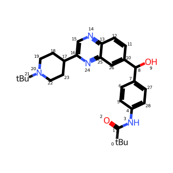 CC(C)(C)C(=O)Nc1ccc(C(O)c2ccc3ncc(C4CCN(C(C)(C)C)CC4)nc3c2)cc1